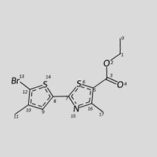 CCOC(=O)c1sc(-c2cc(C)c(Br)s2)nc1C